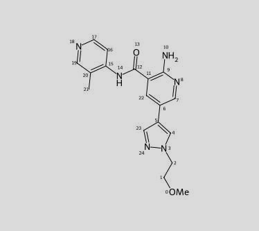 COCCn1cc(-c2cnc(N)c(C(=O)Nc3ccncc3C)c2)cn1